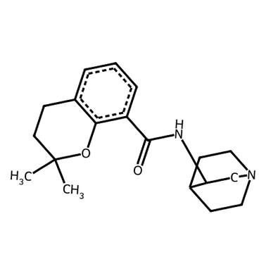 CC1(C)CCc2cccc(C(=O)NC3CN4CCC3CC4)c2O1